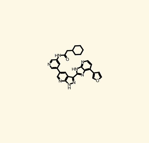 O=C(CC1CCCCC1)Nc1cncc(-c2cnc3[nH]nc(-c4nc5c(-c6ccoc6)ccnc5[nH]4)c3c2)c1